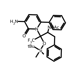 CC(=O)NC(Cc1ccccc1)C(O[Si](C)(C)C(C)(C)C)(n1c(-c2ccccc2)ccc(N)c1=O)C(F)(F)F